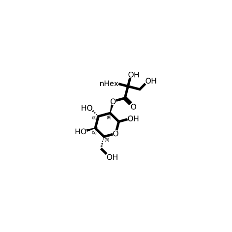 CCCCCCC(O)(CO)C(=O)O[C@H]1C(O)O[C@H](CO)[C@@H](O)[C@@H]1O